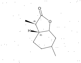 CC1CC[C@H]2C(C1)OC(=O)[C@@H]2C